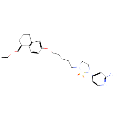 CCOC=C1CCCc2cc(OCCCCCN3CCN(c4ccnc(N)c4)S3(=O)=O)ccc21